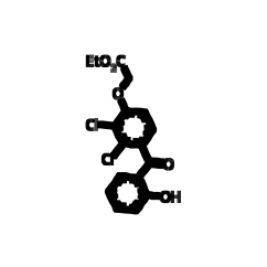 CCOC(=O)COc1ccc(C(=O)c2ccccc2O)c(Cl)c1Cl